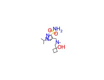 CC(C)n1cc(CN(C)CC2(O)CCC2)c(S(N)(=O)=O)n1